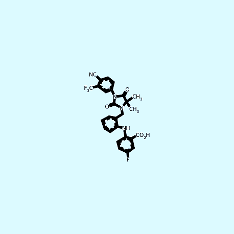 CC1(C)C(=O)N(c2ccc(C#N)c(C(F)(F)F)c2)C(=O)N1Cc1ccccc1Nc1ccc(F)cc1C(=O)O